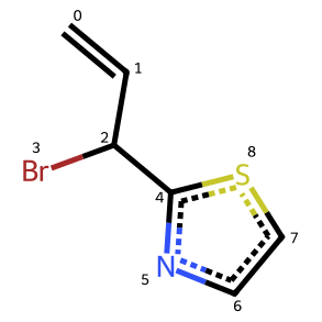 C=CC(Br)c1nccs1